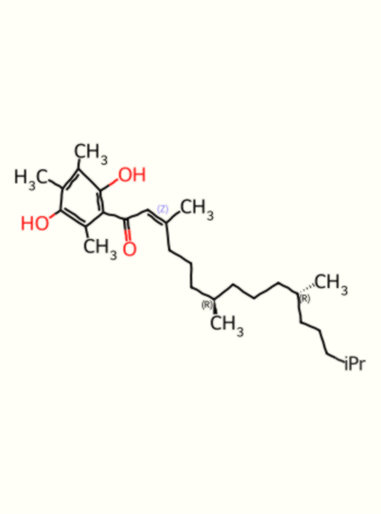 C/C(=C/C(=O)c1c(C)c(O)c(C)c(C)c1O)CCC[C@H](C)CCC[C@H](C)CCCC(C)C